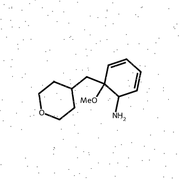 COC1(CC2CCOCC2)C=CC=CC1N